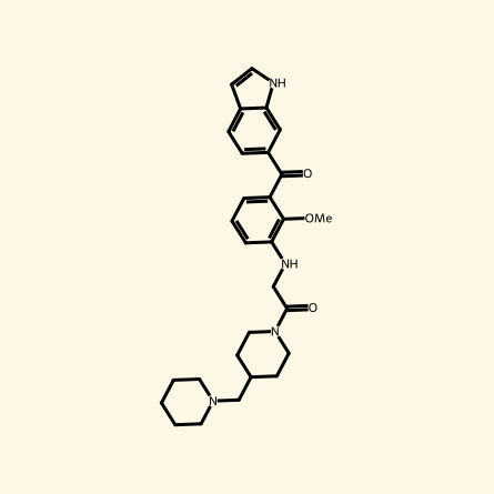 COc1c(NCC(=O)N2CCC(CN3CCCCC3)CC2)cccc1C(=O)c1ccc2cc[nH]c2c1